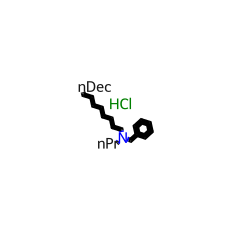 CCCCCCCCCCCCCCCCCCN(CCC)Cc1ccccc1.Cl